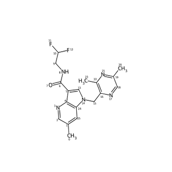 Cc1cnc2c(C(=O)NCC(F)F)cn(Cc3ncc(C)nc3C)c2c1